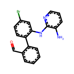 Nc1cccnc1Nc1cc(Br)ccc1-c1ccccc1C=O